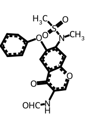 CN(c1cc2occ(NC=O)c(=O)c2cc1Oc1ccccc1)S(C)(=O)=O